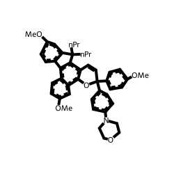 CCCC1(CCC)c2cc(OC)ccc2-c2c1c1c(c3cc(OC)ccc23)OC(c2ccc(OC)cc2)(c2ccc(N3CCOCC3)cc2)C=C1